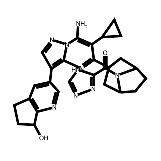 Nc1c(C2CC2)c(C2CC3CCC(C2)N3C(=O)c2nnc[nH]2)nc2c(-c3cnc4c(c3)CCC4O)cnn12